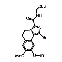 COc1cc2c(cc1OC(C)C)-c1c(Br)nc(C(=O)NCC(C)(C)C)n1CC2